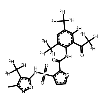 [2H]c1c(C([2H])([2H])[2H])cc(C([2H])([2H])[2H])c(NC(=O)c2sccc2S(=O)(=O)Nc2onc(C)c2C([2H])([2H])[2H])c1C(=O)C([2H])([2H])[2H]